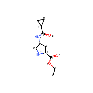 CCOC(=O)[C@@H]1C[C@@H](NC(=O)C2CC2)CN1